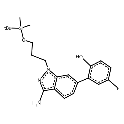 CC(C)(C)[Si](C)(C)OCCCn1nc(N)c2ccc(-c3cc(F)ccc3O)cc21